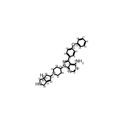 Nc1ncnc2c1c(-c1ccc(Oc3ccccc3)cc1)nn2C1CCN(C2C=C3CNC[C@@H]3C2)CC1